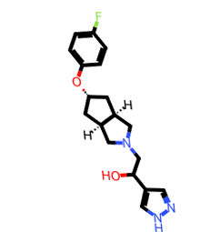 OC(CN1C[C@H]2C[C@H](Oc3ccc(F)cc3)C[C@H]2C1)c1cn[nH]c1